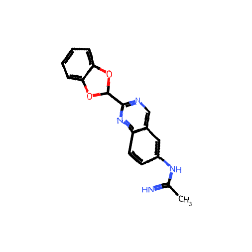 CC(=N)Nc1ccc2nc(C3Oc4ccccc4O3)ncc2c1